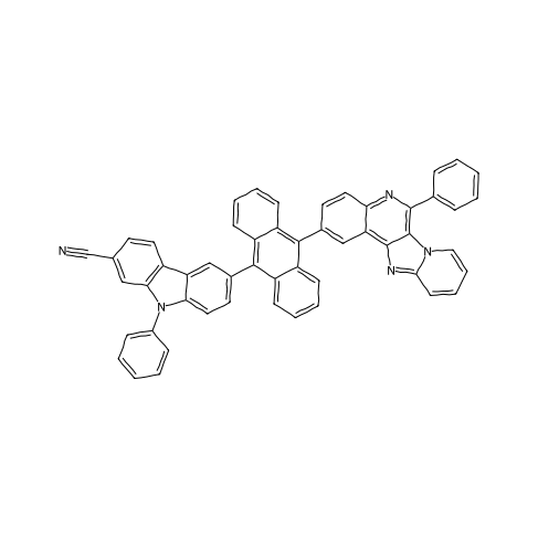 N#Cc1ccc2c3cc(-c4c5ccccc5c(-c5ccc6nc(-c7ccccc7)c7c(nc8ccccn87)c6c5)c5ccccc45)ccc3n(-c3ccccc3)c2c1